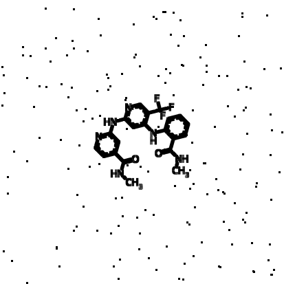 CNC(=O)c1ccnc(Nc2cc(Nc3ccccc3C(=O)NC)c(C(F)(F)F)cn2)c1